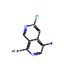 CNc1ncc(I)c2cc(Cl)ncc12